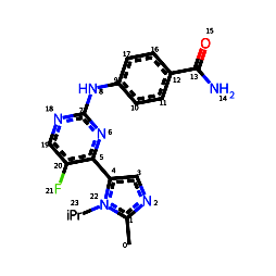 Cc1ncc(-c2nc(Nc3ccc(C(N)=O)cc3)ncc2F)n1C(C)C